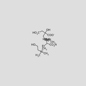 CC(=O)O.CCC(O)C(=O)O.C[N+](C)(C)CCO.O=C(O)CC(O)(CC(=O)O)C(=O)[O-]